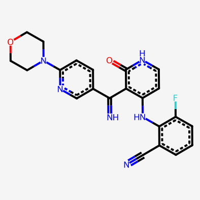 N#Cc1cccc(F)c1Nc1cc[nH]c(=O)c1C(=N)c1ccc(N2CCOCC2)nc1